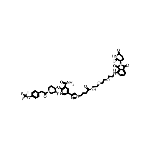 NC(=O)c1cc(-c2cn(CCCC(=O)NCCOCCOCCNc3cccc4c3C(=O)N(C3CCC(=O)NC3=O)C4=O)cn2)cnc1O[C@@H]1CCN(C(=O)Cc2ccc(OC(F)(F)F)cc2)C[C@H]1F